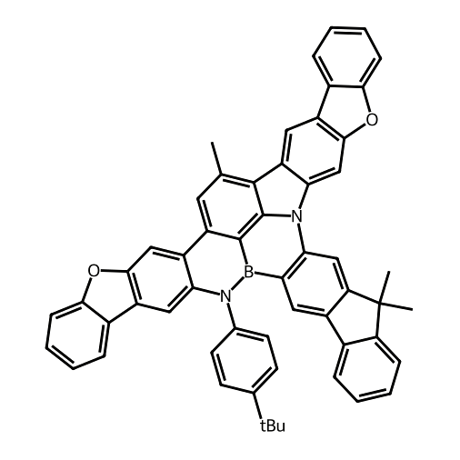 Cc1cc2c3c4c1c1cc5c(cc1n4-c1cc4c(cc1B3N(c1ccc(C(C)(C)C)cc1)c1cc3c(cc1-2)oc1ccccc13)-c1ccccc1C4(C)C)oc1ccccc15